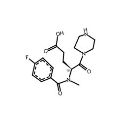 CN(C(=O)c1ccc(F)cc1)[C@@H](CCC(=O)O)C(=O)N1CCNCC1